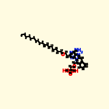 CCCCCCCCCCCCCCCCCCOCCc1nc(N)c2nc(Cc3ccccc3)n(CCOCP(=O)(O)O)c2n1